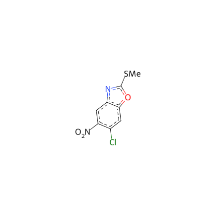 CSc1nc2cc([N+](=O)[O-])c(Cl)cc2o1